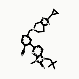 Cn1c(=O)n(CC(C)(C)C)c2ccc(-c3cc(CN4CCc5oc(C6CC6)nc5C4)ccc3C#N)nc21